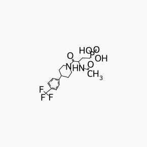 CC(=O)NC(CCP(=O)(O)O)C(=O)N1CCC(c2ccc(C(F)(F)F)cc2)CC1